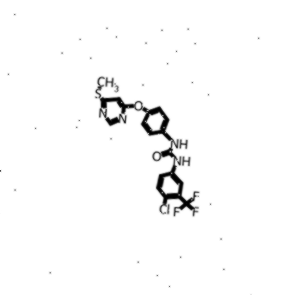 CSc1cc(Oc2ccc(NC(=O)Nc3ccc(Cl)c(C(F)(F)F)c3)cc2)ncn1